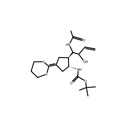 C=CC(O)C(NC(C)=O)[C@@H]1CC(=C2SCCCS2)C[C@H]1NC(=O)OC(C)(C)C